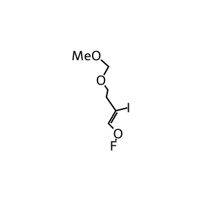 COCOCCC(I)=COF